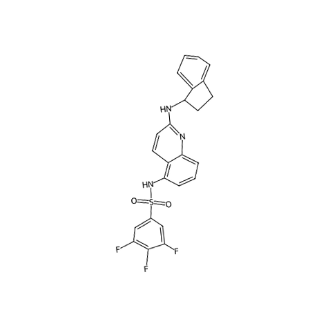 O=S(=O)(Nc1cccc2nc(NC3CCc4ccccc43)ccc12)c1cc(F)c(F)c(F)c1